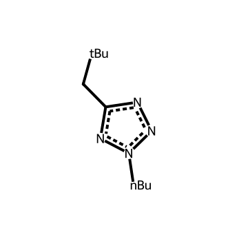 CCCCn1nnc(CC(C)(C)C)n1